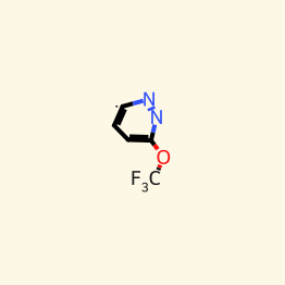 FC(F)(F)Oc1cc[c]nn1